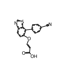 N#Cc1ccc(-c2c(O/C=C/C(=O)O)ccc3ncsc23)cc1